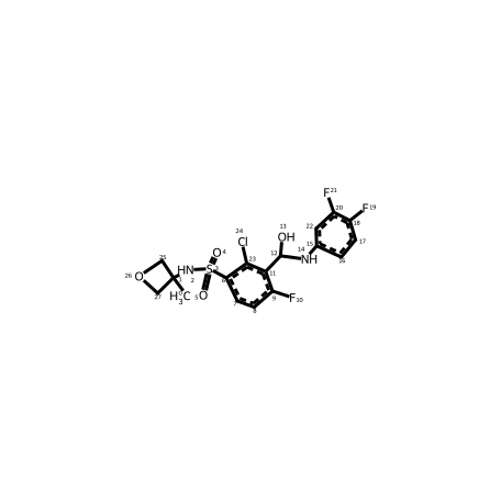 CC1(NS(=O)(=O)c2ccc(F)c(C(O)Nc3ccc(F)c(F)c3)c2Cl)COC1